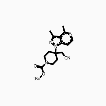 Cc1nccc2c1c(C)nn2C1(CC#N)CCN(C(=O)OC(C)(C)C)CC1